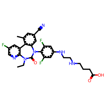 CCN1C(=O)N(c2c(F)cc(NCCNCCCC(=O)O)cc2F)c2cc(C#N)cc(C)c2-c2cc(F)cnc21